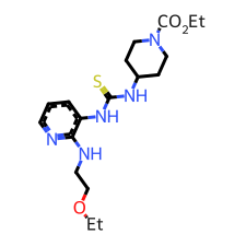 CCOCCNc1ncccc1NC(=S)NC1CCN(C(=O)OCC)CC1